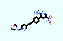 CNc1ncc(C(=O)NO)cc1-c1ccc(C#Cc2ccc(CN3CCOCC3)nc2)cc1